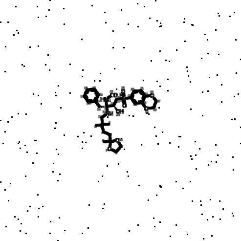 CC(C)(CCC1(C)OCCO1)CN[C@@](Cc1ccccc1)(NC(=O)O)[C@@H](O)CS(=O)(=O)c1ccc2c(c1)OCCO2